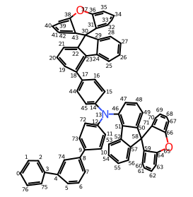 c1ccc(-c2cccc(-c3ccc(N(c4ccc(-c5cccc6c5-c5ccccc5C65c6ccccc6Oc6ccccc65)cc4)c4cccc5c4-c4ccccc4C54c5ccccc5Oc5ccccc54)cc3)c2)cc1